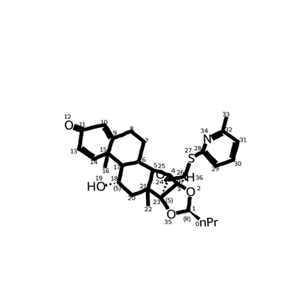 CCC[C@@H]1O[C@@H]2CC3C4CCC5=CC(=O)C=CC5(C)C4[C@@H](O)CC3(C)[C@]2(C(=O)CSc2cccc(C)n2)O1